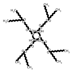 CCCCCCCCCCC(CCCCCCCC)C(=O)OCCCCCC(=O)OCC(O)CN1CCCN(CC(O)COC(=O)CCCCCOC(=O)C(CCCCCCCC)CCCCCCCCCC)CCN(CC(O)COC(=O)CCCCCOC(=O)C(CCCCCCCC)CCCCCCCCCC)CCCN(CC(O)COC(=O)CCCCCOC(=O)C(CCCCCCCC)CCCCCCCCCC)CC1